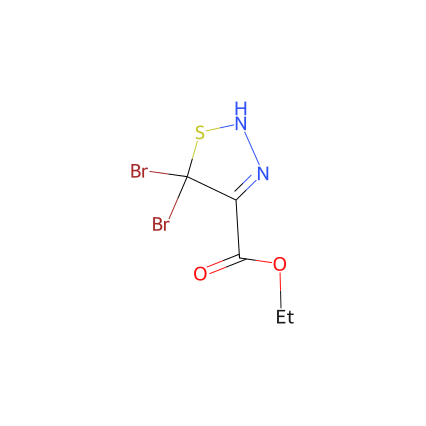 CCOC(=O)C1=NNSC1(Br)Br